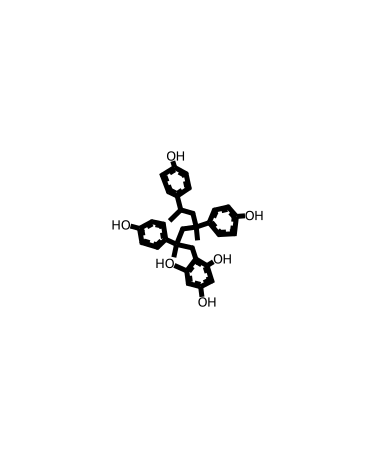 CC(CC(C)(CC(C)(Cc1c(O)cc(O)cc1O)c1ccc(O)cc1)c1ccc(O)cc1)c1ccc(O)cc1